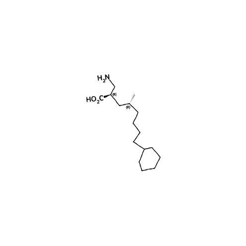 C[C@H](CCCCC1CCCCC1)C[C@H](CN)C(=O)O